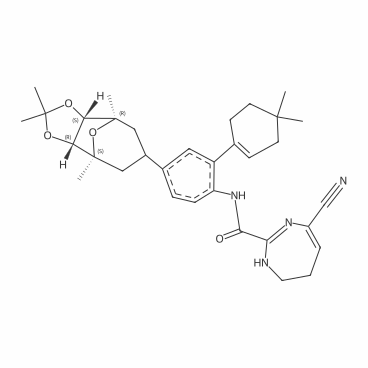 CC1(C)CC=C(c2cc(C3C[C@@]4(C)O[C@@](C)(C3)[C@@H]3OC(C)(C)O[C@@H]34)ccc2NC(=O)C2=NC(C#N)=CCCN2)CC1